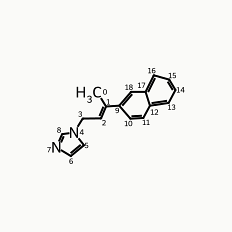 C/C(=C\Cn1ccnc1)c1ccc2ccccc2c1